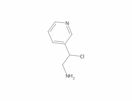 NCC(Cl)c1cccnc1